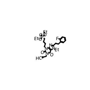 C#CCn1c(=O)c2c(nc(CCc3ccccc3F)n2CC)n(CCCCP(=O)(OCC)OCC)c1=O